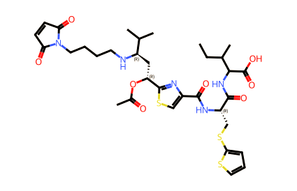 CCC(C)C(NC(=O)[C@H](CSc1cccs1)NC(=O)c1csc([C@@H](C[C@@H](NCCCCN2C(=O)C=CC2=O)C(C)C)OC(C)=O)n1)C(=O)O